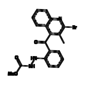 COC(=O)NNc1ccccc1C(=O)c1c(C)c(Br)nc2ccccc12